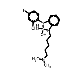 CN(C)CCCCCN1c2ccccc2N(c2ccc(F)cc2Cl)S1(O)O